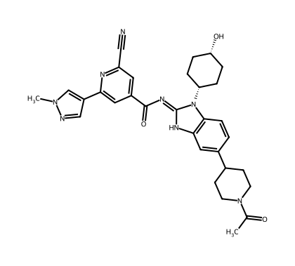 CC(=O)N1CCC(c2ccc3c(c2)[nH]/c(=N\C(=O)c2cc(C#N)nc(-c4cnn(C)c4)c2)n3[C@H]2CC[C@@H](O)CC2)CC1